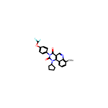 COc1cccc2c1ncc1c(=O)n(-c3ccc(OC(F)F)cc3)c(=O)n(C3CCCC3)c12